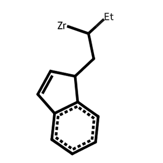 CC[CH]([Zr])CC1C=Cc2ccccc21